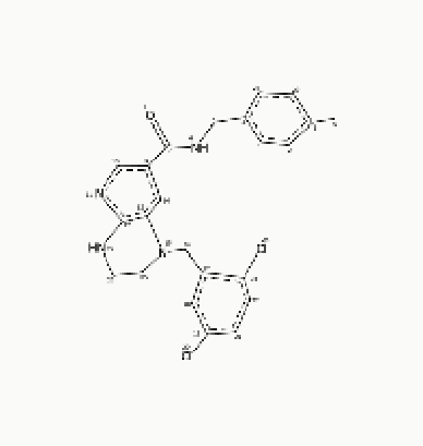 Cc1ccc(CNC(=O)c2cnc3c(c2)N(Cc2cc(Cl)ccc2Cl)CCN3)cc1